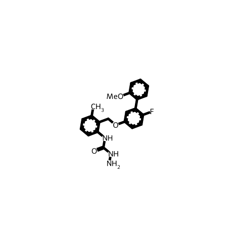 COc1ccccc1-c1cc(OCc2c(C)cccc2NC(=O)NN)ccc1F